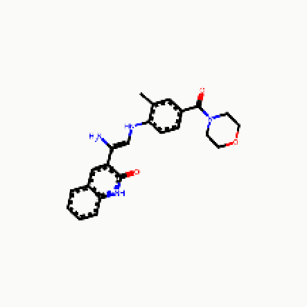 Cc1cc(C(=O)N2CCOCC2)ccc1N/C=C(\N)c1cc2ccccc2[nH]c1=O